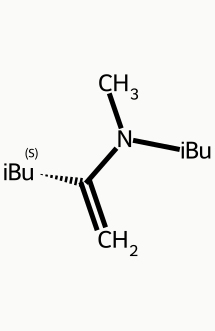 C=C([C@@H](C)CC)N(C)C(C)CC